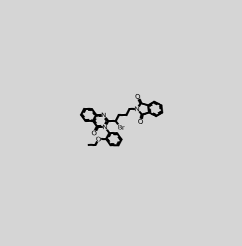 CCOc1ccccc1-n1c(C(Br)CCCN2C(=O)c3ccccc3C2=O)nc2ccccc2c1=O